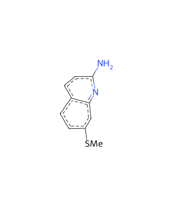 [CH2]Sc1ccc2ccc(N)nc2c1